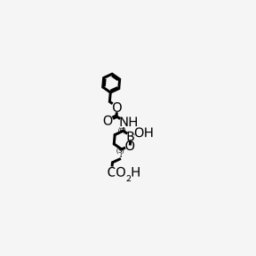 O=C(O)CC[C@@H]1CC[C@H](NC(=O)OCc2ccccc2)B(O)O1